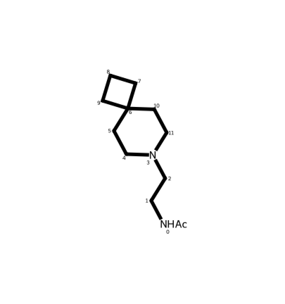 CC(=O)NCCN1CCC2(CCC2)CC1